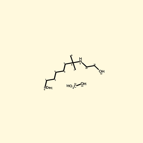 CCCCCCCCCCCCCCCC(C)(C)NCCO.O=C(O)O